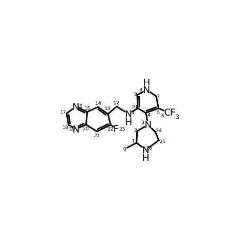 CC1CN(C2=C(C(F)(F)F)CNC=C2NCc2cc3nccnc3cc2F)CCN1